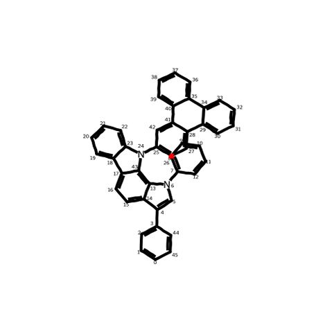 c1ccc(-c2cn(-c3ccccc3)c3c2ccc2c4ccccc4n(-c4ccc5c6ccccc6c6ccccc6c5c4)c23)cc1